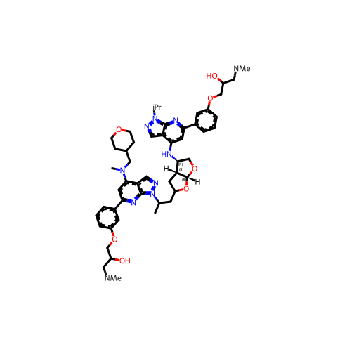 CNCC(O)COc1cccc(-c2cc(N[C@H]3CO[C@@H]4OC(CC(C)n5ncc6c(N(C)CC7CCOCC7)cc(-c7cccc(OCC(O)CNC)c7)nc65)C[C@@H]43)c3cnn(C(C)C)c3n2)c1